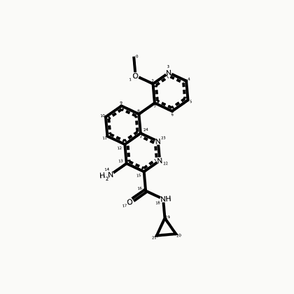 COc1ncccc1-c1cccc2c(N)c(C(=O)NC3CC3)nnc12